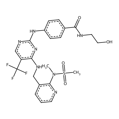 CN(c1ncccc1CNc1nc(Nc2ccc(C(=O)NCCO)cc2)ncc1C(F)(F)F)S(C)(=O)=O